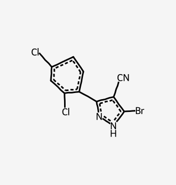 N#Cc1c(-c2ccc(Cl)cc2Cl)n[nH]c1Br